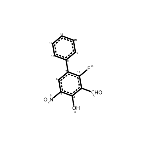 O=Cc1c(O)c([N+](=O)[O-])cc(-c2ccccc2)c1F